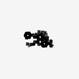 CCOC(=O)C1=C(COc2cccnc2)NC(C)C(C)(C(=O)O)C1c1cccc([N+](=O)[O-])c1